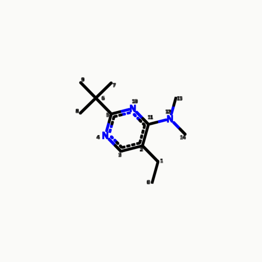 CCc1cnc(C(C)(C)C)nc1N(C)C